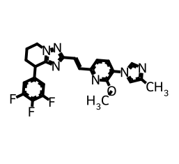 COc1nc(C=Cc2nc3n(n2)CCCC3c2cc(F)c(F)c(F)c2)ccc1-n1cnc(C)c1